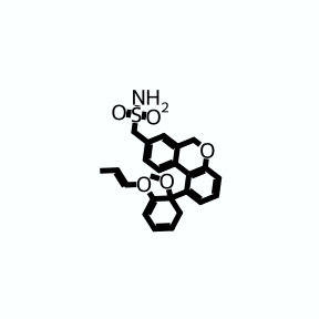 CC=COC1=CC=CCC1(OC)c1cccc2c1-c1ccc(CS(N)(=O)=O)cc1CO2